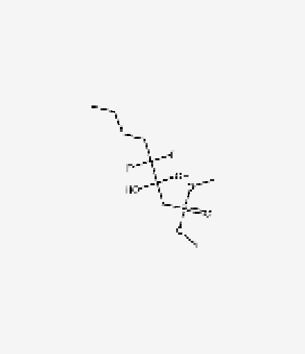 CCCCC(F)(F)C(O)(O)CP(=O)(OC)OC